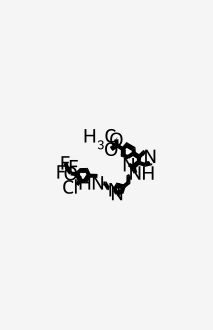 COC(=O)c1ccc2c(c1)nc(NCCc1cnn(CCNCc3ccc(OC(F)(F)F)c(Cl)c3)c1)c1ccncc12